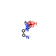 Cc1cc2nc(-c3cccc(-c4cccc(C#N)c4)c3)cn2c(N2CCC(C)(C)CC2)c1[C@H](OC(C)(C)C)C(=O)O